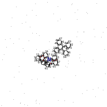 CC1(c2ccccc2)c2ccccc2-c2cccc(N(c3cccc(-c4ccc5c(c4)c(-c4ccccc4)c(-c4ccccc4)c4ccccc45)c3)c3c(-c4ccccc4)cccc3-c3ccccc3)c21